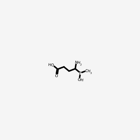 CP(O)C(N)CCC(=O)O